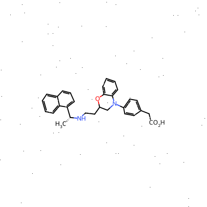 C[C@@H](NCCC1CN(c2ccc(CC(=O)O)cc2)c2ccccc2O1)c1cccc2ccccc12